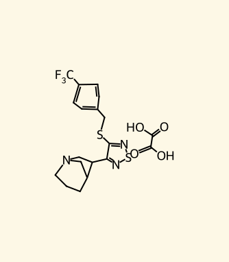 FC(F)(F)c1ccc(CSc2nsnc2C2CN3CCCC2C3)cc1.O=C(O)C(=O)O